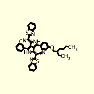 [C-]#[N+]/C(c1nc2ccccc2s1)=c1/[nH]c(-c2ccc(OCC(CC)CCCC)cc2)c2/c(=C(\C#N)c3nc4ccccc4s3)[nH]c(-c3ccccc3)c12